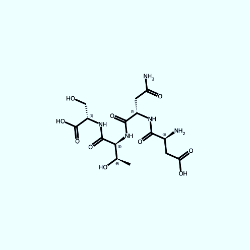 C[C@@H](O)[C@H](NC(=O)[C@H](CC(N)=O)NC(=O)[C@@H](N)CC(=O)O)C(=O)N[C@@H](CO)C(=O)O